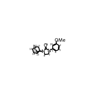 COc1cccc(N2CCN(C3CN4CCC3CC4)C2=O)c1